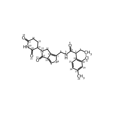 CCC(C(=O)NCc1scc2c1CN(C1CCC(=O)NC1=O)C2=O)c1ccc(C)cc1Cl